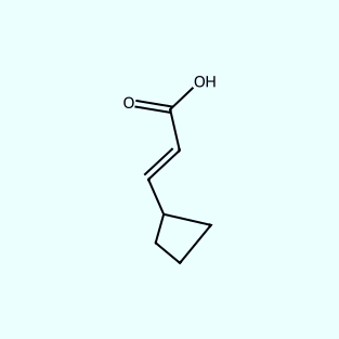 O=C(O)/C=C/C1CCC1